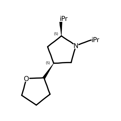 CC(C)[C@@H]1C[C@H](C2CCCO2)CN1C(C)C